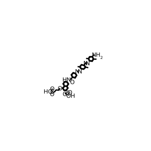 Cc1cc(N=Nc2cc(C)c(N=Nc3ccc(C(=O)Nc4ccc5c(OCCCS(=O)(=O)O)cc(S(=O)(=O)O)cc5c4)cc3)cc2C)c(C)cc1N